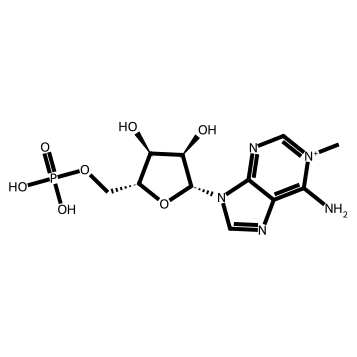 C[n+]1cnc2c(ncn2[C@@H]2O[C@H](COP(=O)(O)O)[C@@H](O)[C@H]2O)c1N